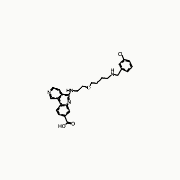 O=C(O)c1ccc2c(c1)nc(NCCOCCCCNCc1cccc(Cl)c1)c1ccncc12